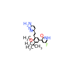 COc1c(C=Cc2ccc(N)nn2)cc(-c2cc(F)c[nH]c2=O)cc1C(C)(C)C